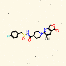 N#Cc1cc2c(nc1N1CCC(C(=O)N[S+]([O-])Cc3ccc(F)cc3)CC1)COC2=O